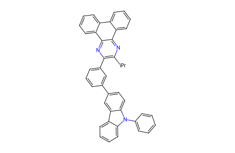 CC(C)c1nc2c3ccccc3c3ccccc3c2nc1-c1cccc(-c2ccc3c(c2)c2ccccc2n3-c2ccccc2)c1